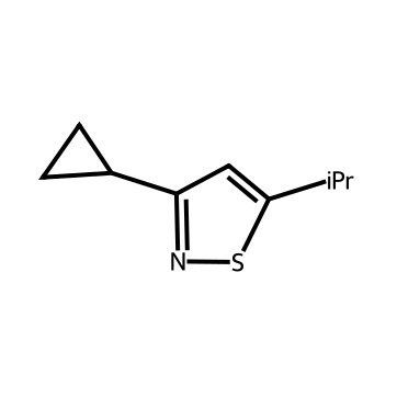 CC(C)c1cc(C2CC2)ns1